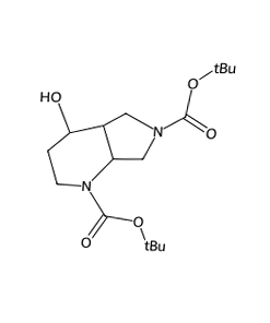 CC(C)(C)OC(=O)N1CC2C(O)CCN(C(=O)OC(C)(C)C)C2C1